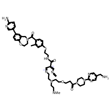 C=N/C=C(\C=N/CCN(CCNC)CCOCCC(=O)N1CCN(c2ncc(CN)cn2)CC1)C(=O)NCCSc1ccc(C(=O)N2CCOc3ccc(-c4ccc(N)nc4)cc3C2)c(C)c1